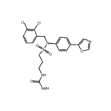 CNC(=O)NCCCS(=O)(=O)N(Cc1cccc(Cl)c1Cl)c1ccc(-c2cnco2)cc1